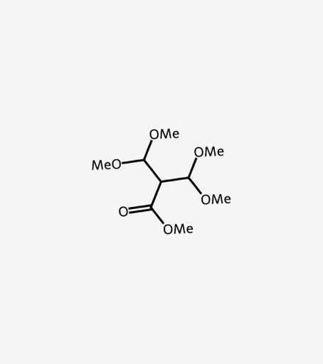 COC(=O)C(C(OC)OC)C(OC)OC